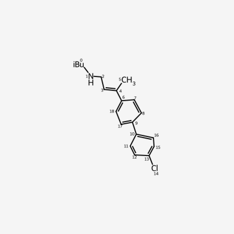 CCC(C)NCC=C(C)c1ccc(-c2ccc(Cl)cc2)cc1